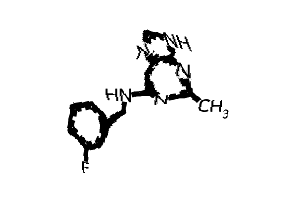 Cc1nc(NCc2cccc(F)c2)c2nc[nH]c2n1